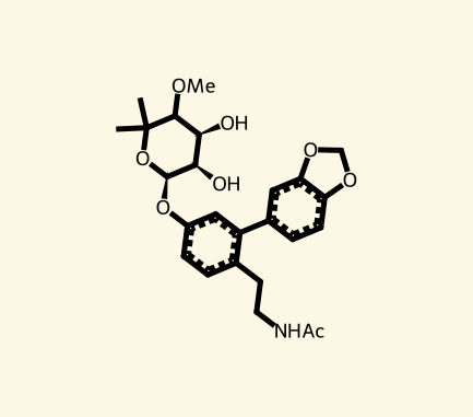 COC1[C@@H](O)[C@@H](O)[C@@H](Oc2ccc(CCNC(C)=O)c(-c3ccc4c(c3)OCO4)c2)OC1(C)C